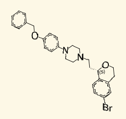 Brc1ccc2c(c1)CCO[C@H]2CCN1CCN(c2ccc(OCc3ccccc3)cc2)CC1